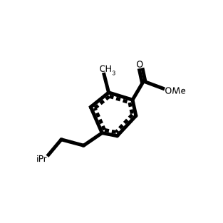 COC(=O)c1ccc(CCC(C)C)cc1C